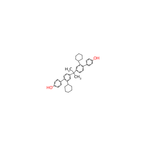 CC(C)(c1ccc(-c2ccc(O)cc2)c(C2CCCCC2)c1)c1ccc(-c2ccc(O)cc2)c(C2CCCCC2)c1